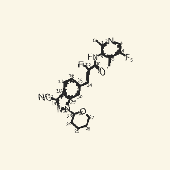 Cc1ncc(F)c(C)c1NC(=O)/C(F)=C/c1ccc2c(C#N)nn(C3CCCCO3)c2c1